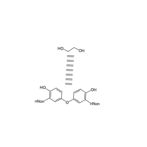 C=C.C=C.C=C.C=C.C=C.C=C.C=C.CCCCCCCCCc1cc(Oc2ccc(O)c(CCCCCCCCC)c2)ccc1O.OCCO